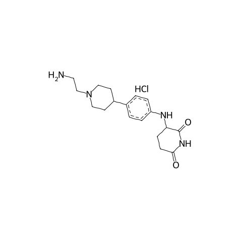 Cl.NCCN1CCC(c2ccc(NC3CCC(=O)NC3=O)cc2)CC1